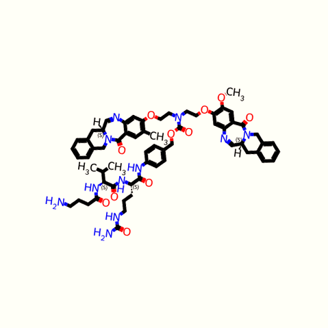 COc1cc2c(cc1OCCN(CCOc1cc3c(cc1C)C(=O)N1Cc4ccccc4C[C@H]1C=N3)C(=O)OCc1ccc(NC(=O)[C@H](CCCNC(N)=O)NC(=O)[C@@H](NC(=O)CCCN)C(C)C)cc1)N=C[C@@H]1Cc3ccccc3CN1C2=O